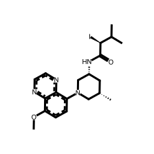 COc1ccc(N2C[C@@H](C)C[C@@H](NC(=O)[C@@H](I)C(C)C)C2)c2nccnc12